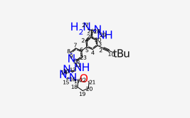 CC(C)(C)C#Cc1cc(-c2ccnc(Nc3nncn3C3CCCCO3)c2)cc2c(N)n[nH]c12